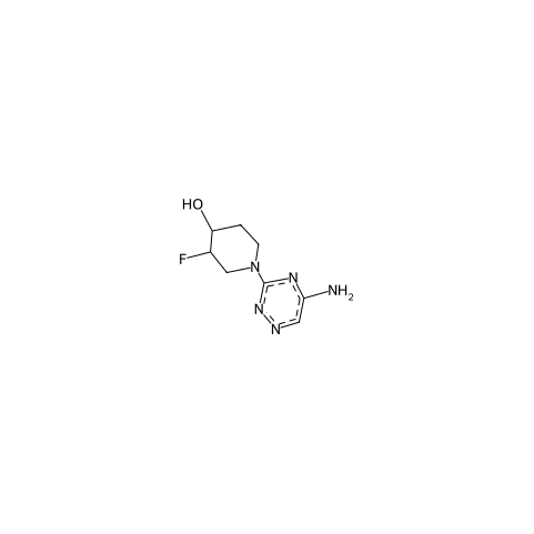 Nc1cnnc(N2CCC(O)C(F)C2)n1